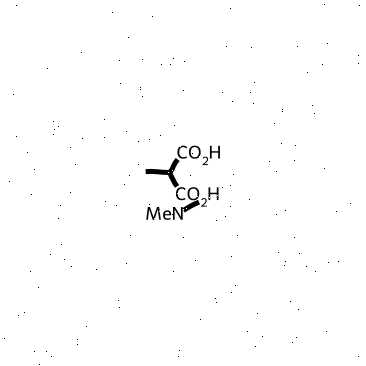 CC(C(=O)O)C(=O)O.CNC